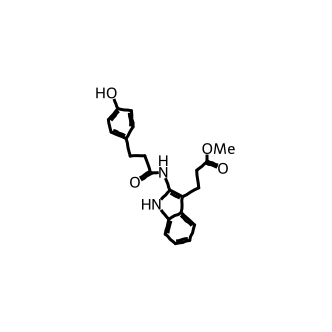 COC(=O)CCc1c(NC(=O)CCc2ccc(O)cc2)[nH]c2ccccc12